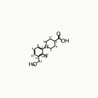 O=C(O)C1CCN(c2cccc(CO)c2F)CC1